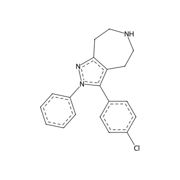 Clc1ccc(-c2c3c(nn2-c2ccccc2)CCNCC3)cc1